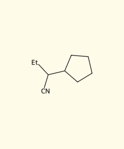 CCC(C#N)C1CCCC1